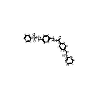 O=C(NCc1ccc(CNS(=O)(=O)c2ccccc2)cc1)c1ccc(CNc2ncccn2)cc1